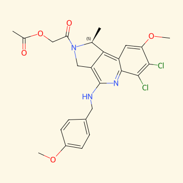 COc1ccc(CNc2nc3c(Cl)c(Cl)c(OC)cc3c3c2CN(C(=O)COC(C)=O)[C@H]3C)cc1